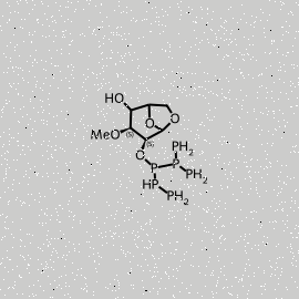 CO[C@H]1C(O)C2COC(O2)[C@H]1OP(PP)P(P)P